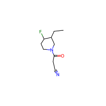 CCC1CN(C(=O)CC#N)CCC1F